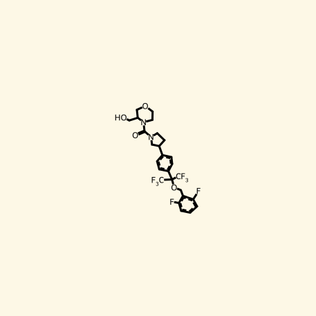 O=C(N1CCC(c2ccc(C(OCc3c(F)cccc3F)(C(F)(F)F)C(F)(F)F)cc2)C1)N1CCOCC1CO